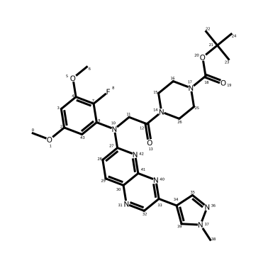 COc1cc(OC)c(F)c(N(CC(=O)N2CCN(C(=O)OC(C)(C)C)CC2)c2ccc3ncc(-c4cnn(C)c4)nc3n2)c1